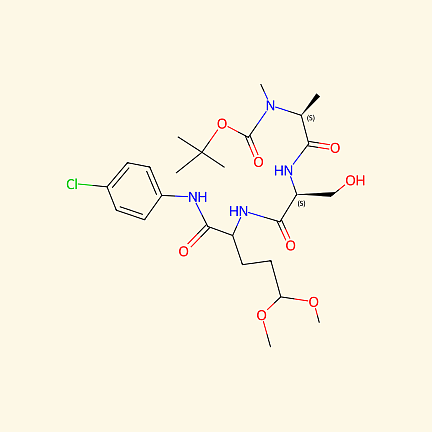 COC(CCC(NC(=O)[C@H](CO)NC(=O)[C@H](C)N(C)C(=O)OC(C)(C)C)C(=O)Nc1ccc(Cl)cc1)OC